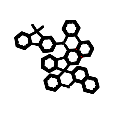 CC1(C)c2ccccc2-c2ccc(N(c3ccccc3-c3ccccc3)c3cccc4c3-c3ccccc3C43c4ccccc4Oc4c3ccc3ccccc43)cc21